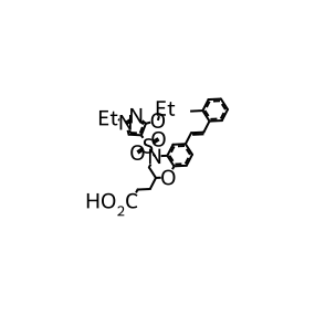 CCOc1nn(CC)cc1S(=O)(=O)N1CC(CCC(=O)O)Oc2ccc(C=Cc3ccccc3C)cc21